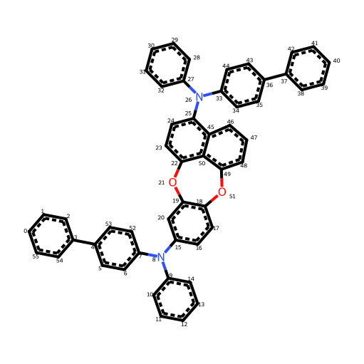 c1ccc(-c2ccc(N(c3ccccc3)c3ccc4c(c3)Oc3ccc(N(c5ccccc5)c5ccc(-c6ccccc6)cc5)c5cccc(c35)O4)cc2)cc1